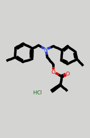 C=C(C)C(=O)OCCN(Cc1ccc(C)cc1)Cc1ccc(C)cc1.Cl